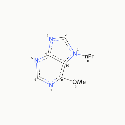 CCCn1cnc2ncnc(OC)c21